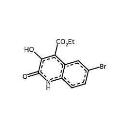 CCOC(=O)c1c(O)c(=O)[nH]c2ccc(Br)cc12